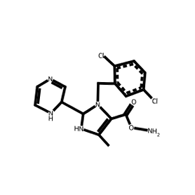 CC1=C(C(=O)ON)N(Cc2cc(Cl)ccc2Cl)C(C2C=NC=CN2)N1